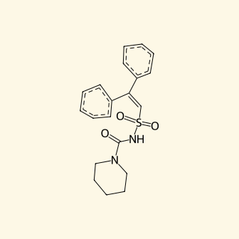 O=C(NS(=O)(=O)C=C(c1ccccc1)c1ccccc1)N1CCCCC1